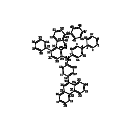 c1ccc(-c2ccc(N(c3ccc(-c4cc5ccccc5c5ccccc45)cc3)c3ccc(-c4ccccc4)c4c3sc3c(-c5ccccc5)cccc34)cc2)cc1